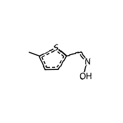 Cc1ccc(/C=N\O)s1